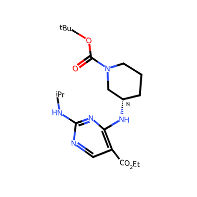 CCOC(=O)c1cnc(NC(C)C)nc1N[C@H]1CCCN(C(=O)OC(C)(C)C)C1